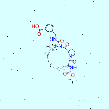 CC(C)(C)OC(=O)N[C@H]1CCCCC/C=C\[C@@H]2C[C@@]2(C(=O)NCc2cccc(C(=O)O)c2)NC(=O)C2CCCN2C1=O